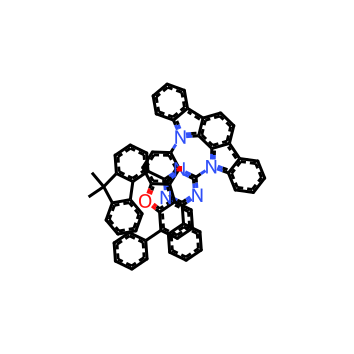 CC1(C)c2ccccc2-c2c(-c3nc(-c4ccccc4)nc(-n4c5ccccc5c5ccc6c7ccccc7n(-c7ccc8oc9c(-c%10ccccc%10)cccc9c8c7)c6c54)n3)cccc21